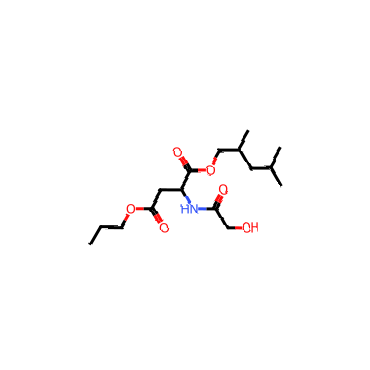 CCCOC(=O)CC(NC(=O)CO)C(=O)OCC(C)CC(C)C